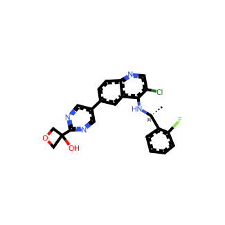 C[C@@H](Nc1c(Cl)cnc2ccc(-c3cnc(C4(O)COC4)nc3)cc12)c1ccccc1F